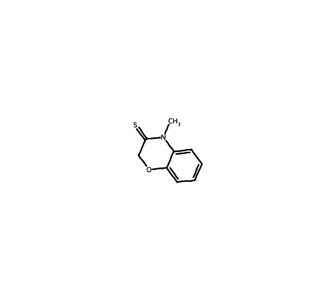 CN1C(=S)COc2c[c]ccc21